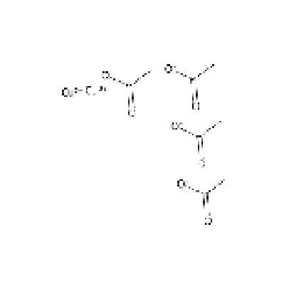 CC(=O)[O-].CC(=O)[O-].CC(=O)[O-].CC(=O)[O-].[Cu+2].[Cu+2]